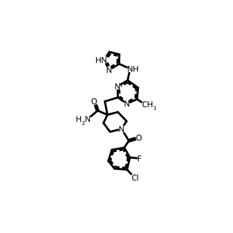 Cc1cc(Nc2cc[nH]n2)nc(CC2(C(N)=O)CCN(C(=O)c3cccc(Cl)c3F)CC2)n1